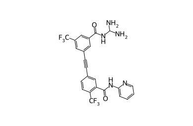 NC(N)NC(=O)c1cc(C#Cc2ccc(C(F)(F)F)c(C(=O)Nc3ccccn3)c2)cc(C(F)(F)F)c1